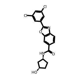 O=C(N[C@H]1CC[C@@H](O)C1)c1ccc2nc(-c3cc(Cl)cc(Cl)c3)oc2c1